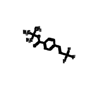 CC(C)(C)OC(=O)c1ccc(C=CC(F)(F)F)cc1